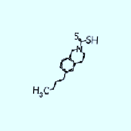 CCCCc1ccc2c(c1)CCN(C(=S)S)C2